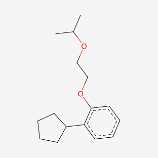 CC(C)OCCOc1ccccc1C1CCCC1